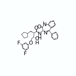 CN1C(=O)C(NC(=O)[C@H](CC2CCCC2)[C@H](O)COc2cc(F)cc(F)c2)N=C(c2ccccc2)c2ccccc21